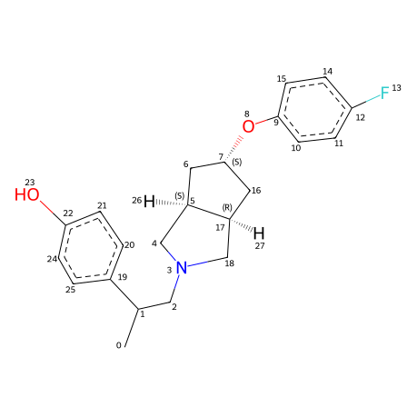 CC(CN1C[C@H]2C[C@H](Oc3ccc(F)cc3)C[C@H]2C1)c1ccc(O)cc1